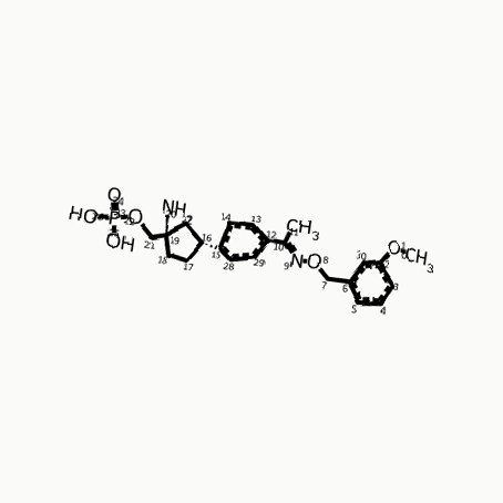 COc1cccc(CO/N=C(\C)c2ccc([C@@H]3CC[C@](N)(COP(=O)(O)O)C3)cc2)c1